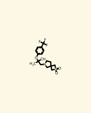 CC(C)(CN1CCC2(C1)CS(=O)(=O)C2)Oc1ccc(C(F)(F)F)cc1